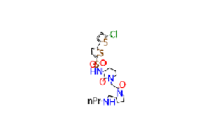 CCCNC[C@@H]1CCCN1C(=O)CN1CCC[C@H](NS(=O)(=O)c2ccc(-c3ccc(Cl)s3)s2)C1=O